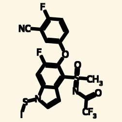 CS(=O)(=NC(=O)C(F)(F)F)c1c(Oc2ccc(F)c(C#N)c2)c(F)cc2c1ccn2SI